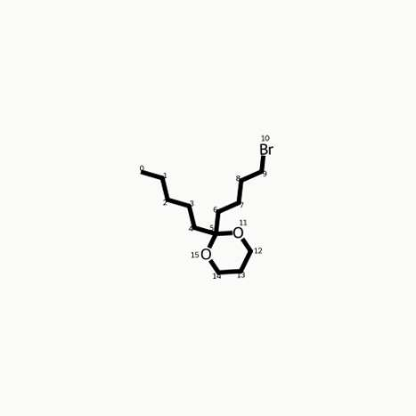 CCCCCC1(CCCCBr)OCCCO1